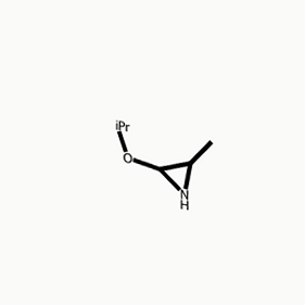 CC(C)OC1NC1C